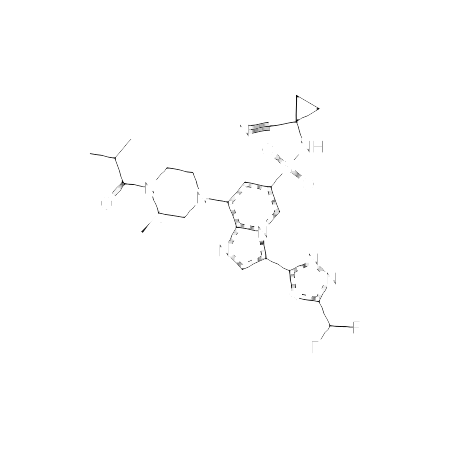 CC(C)C(=O)N1CCN(c2cc(S(=O)(=O)NC3(C#N)CC3)cn3c(-c4nnc(C(F)F)s4)cnc23)C[C@H]1C